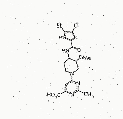 CCc1[nH]c(C(=O)NC2CCN(c3cc(C(=O)O)nc(C)n3)CC2OC)nc1Cl